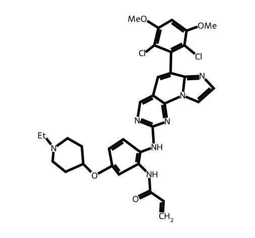 C=CC(=O)Nc1cc(OC2CCN(CC)CC2)ccc1Nc1ncc2cc(-c3c(Cl)c(OC)cc(OC)c3Cl)c3nccn3c2n1